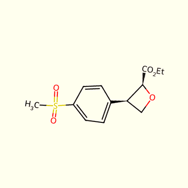 CCOC(=O)[C@H]1OC[C@H]1c1ccc(S(C)(=O)=O)cc1